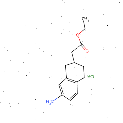 CCOC(=O)CC1CCc2ccc(N)cc2C1.Cl